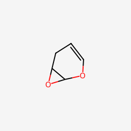 C1=COC2OC2C1